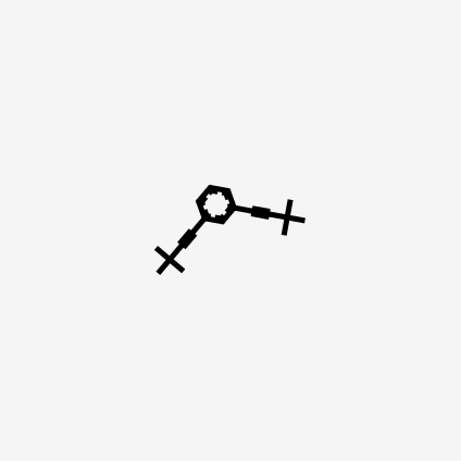 CC(C)(C)C#Cc1cccc(C#CC(C)(C)C)c1